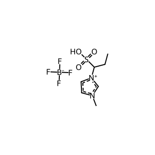 CCC([n+]1ccn(C)c1)S(=O)(=O)O.F[B-](F)(F)F